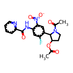 CC(=O)OC1CCN(C(C)=O)C1c1cc([N+](=O)[O-])c(NC(=O)c2ccccn2)cc1F